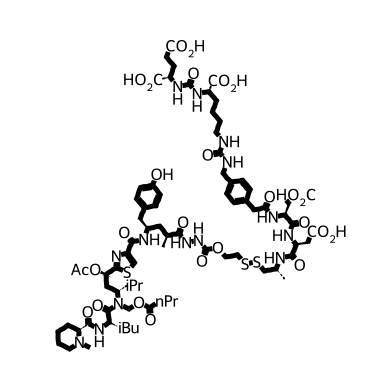 CCCC(=O)OCN(C(=O)C(NC(=O)[C@H]1CCCCN1C)[C@@H](C)CC)[C@H](C[C@@H](OC(C)=O)c1nc(C(=O)N[C@@H](Cc2ccc(O)cc2)C[C@H](C)C(=O)NNC(=O)OCCSSC[C@@H](C)NC(=O)[C@H](CC(=O)O)NC(=O)[C@H](CC(=O)O)NC(=O)Cc2ccc(CNC(=O)NCCCC[C@H](NC(=O)N[C@@H](CCC(=O)O)C(=O)O)C(=O)O)cc2)cs1)C(C)C